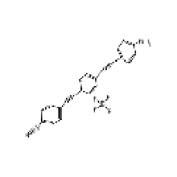 F[B-](F)(F)F.N#[N+]c1ccc(C#Cc2ccc(C#Cc3ccc(N)cc3)cc2)cc1